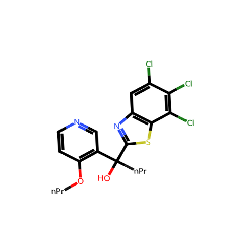 CCCOc1ccncc1C(O)(CCC)c1nc2cc(Cl)c(Cl)c(Cl)c2s1